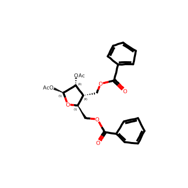 CC(=O)O[C@@H]1O[C@H](COC(=O)c2ccccc2)[C@@H](COC(=O)c2ccccc2)[C@H]1OC(C)=O